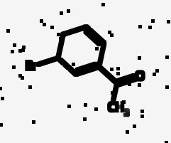 CC(=O)C1=CC(Br)CC=C1